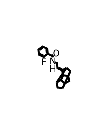 O=C(NCC=C1C2C3CC4C5CC(C1C53)C42)c1ccccc1F